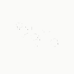 CC(C)Oc1cc(C(=O)Nc2nccs2)cc(O[C@@H](C)Cc2ccccc2)n1